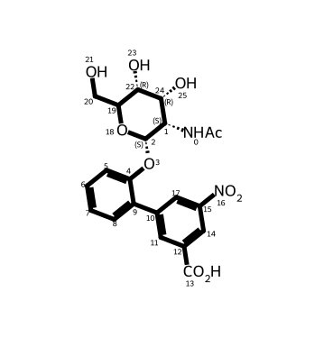 CC(=O)N[C@@H]1[C@H](Oc2ccccc2-c2cc(C(=O)O)cc([N+](=O)[O-])c2)OC(CO)[C@H](O)[C@@H]1O